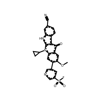 COc1cc2c(=O)c3c4ccc(C#N)cc4[nH]c3n(C3CC3)c2cc1-c1cncc(S(=O)(=O)F)c1